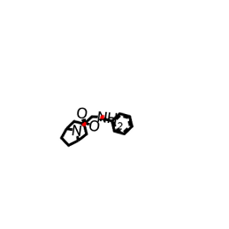 NCC1CC2CCC(C1)N2C(=O)OCc1ccccc1